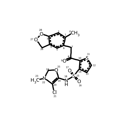 Cc1cc2c(cc1CC(=O)c1sccc1S(=O)(=O)NC1=C(Cl)N(C)CO1)COO2